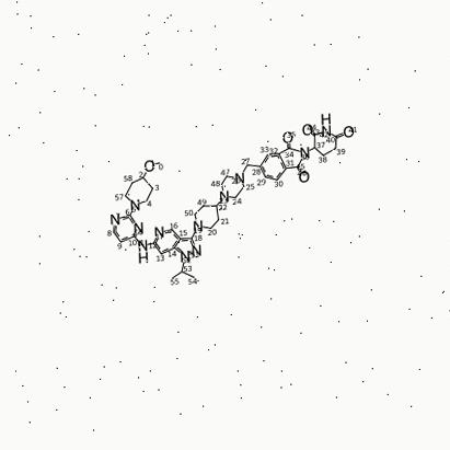 COC1CCN(c2nccc(Nc3cc4c(cn3)c(N3CCC(N5CCN(Cc6ccc7c(c6)C(=O)N(C6CCC(=O)NC6=O)C7=O)CC5)CC3)nn4C(C)C)n2)CC1